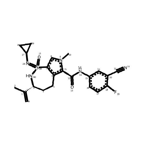 C=C(C)[C@H]1CCc2c(cn(C)c2C(=O)Nc2ccc(F)c(C#N)c2)S(=O)(=NC2CC2)N1